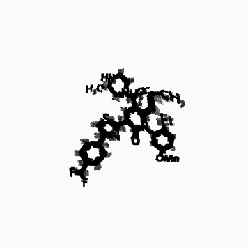 CCc1ccc(OC)cc1-n1c(C=C(C)C)c(C(=O)N2CCN[C@@H](C)C2)cc(-c2nc(-c3ccc(C(F)F)cc3)cs2)c1=O